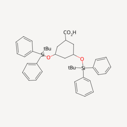 CC(C)(C)[Si](OC1CC(O[Si](c2ccccc2)(c2ccccc2)C(C)(C)C)CC(C(=O)O)C1)(c1ccccc1)c1ccccc1